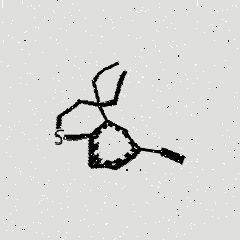 C#Cc1ccc2c(c1)C(CC)(CC)CCS2